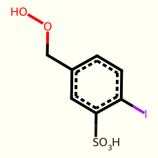 O=S(=O)(O)c1cc(COO)ccc1I